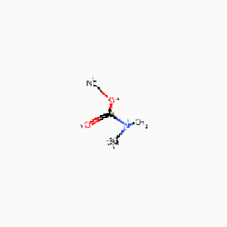 CN(C(=O)OC#N)C(C)(C)C